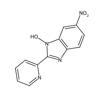 O=[N+]([O-])c1ccc2nc(-c3ccccn3)n(O)c2c1